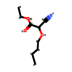 CCCCOC(C#N)C(=O)OCC